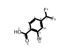 O=C(O)c1ccc(C(F)F)cc1Br